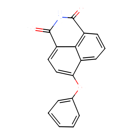 O=C1NC(=O)c2ccc(Oc3ccccc3)c3cccc1c23